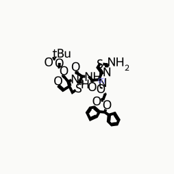 C=CC1=C(C(=O)OCOC(=O)C(C)(C)C)N2C(=O)C(NC(=O)/C(=N\OCC(=O)OC(c3ccccc3)c3ccccc3)c3csc(N)n3)[C@H]2SC1